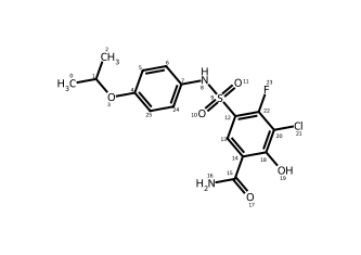 CC(C)Oc1ccc(NS(=O)(=O)c2cc(C(N)=O)c(O)c(Cl)c2F)cc1